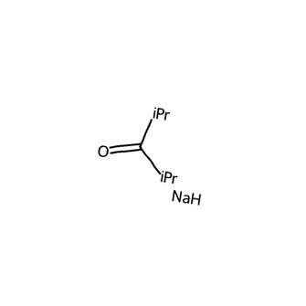 CC(C)C(=O)C(C)C.[NaH]